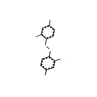 O=C(O)c1cc(F)ccc1[Se][Se]c1ccc(F)cc1C(=O)O